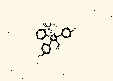 NS(=O)(=O)c1ccccc1-n1nc(-c2ccc(Cl)cc2)c(C=O)c1-c1ccc(Cl)cc1